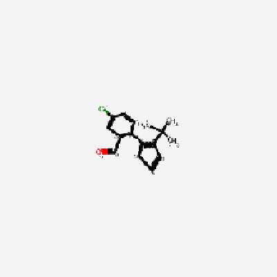 CC(C)(C)C1=C(c2ccc(Cl)cc2C=O)CC=C1